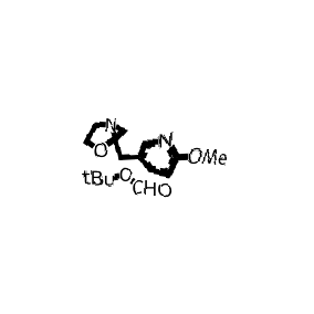 CC(C)(C)OC=O.COc1ccc(CC23CN2CCO3)cn1